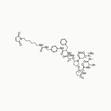 CC[C@H](C)[C@@H]([C@@H](CC(=O)N1CCCC1[C@H](OC)[C@@H](C)C(=O)NC(Cc1ccccc1)C(=O)Nc1ccc(CNC(=O)NCCCCCCN2C(=O)C=CC2=O)cc1)OC)N(C)C(=O)C(NC(=O)[C@H]1N[C@@H]2CC[C@H]1C2)C(C)C